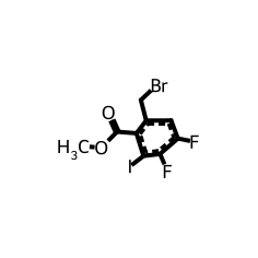 COC(=O)c1c(CBr)cc(F)c(F)c1I